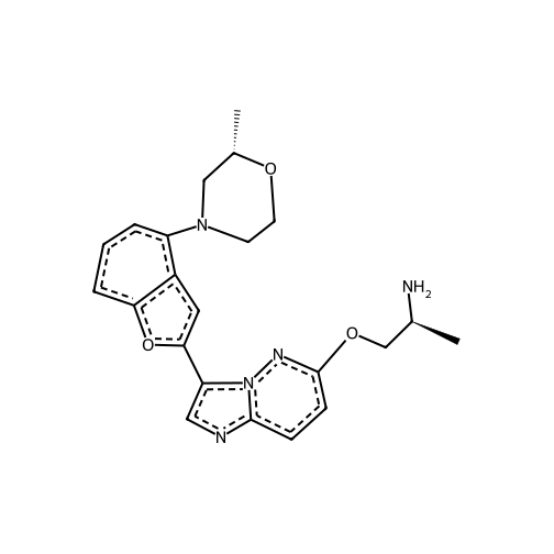 C[C@H](N)COc1ccc2ncc(-c3cc4c(N5CCO[C@@H](C)C5)cccc4o3)n2n1